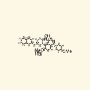 COc1ccc(-c2nnc(N(C)C3CCN(Cc4ccc5ccccc5c4)CC3)c3cc(OC)ccc23)cc1.Cl.Cl